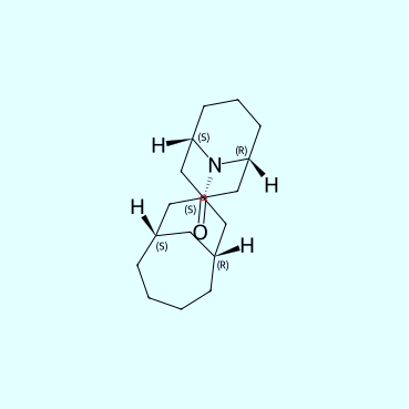 O=C1C[C@H]2CCC[C@@H](C1)N2[C@@H]1C[C@@H]2CCCC[C@@H](C2)C1